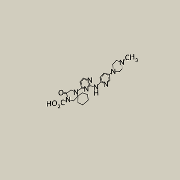 CN1CCN(c2ccc(Nc3nccc(N4CC(=O)N(C(=O)O)CC45CCCCC5)n3)nc2)CC1